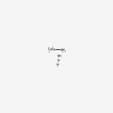 [AlH2][Fe].[Cu].[Mn].[Ni].[W]